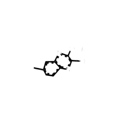 CCOC(=O)c1nc2cc(C)ccc2nc1Cl